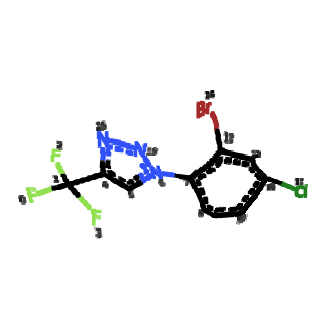 FC(F)(F)c1cn(-c2ccc(Cl)cc2Br)nn1